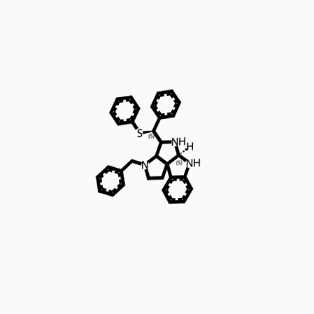 c1ccc(CN2CCC34c5ccccc5N[C@@H]3NC([C@@H](Sc3ccccc3)c3ccccc3)C24)cc1